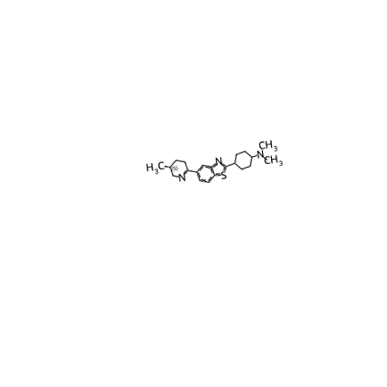 C[C@H]1CCC(c2ccc3sc(C4CCC(N(C)C)CC4)nc3c2)=NC1